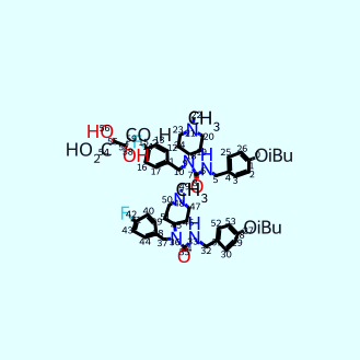 CC(C)COc1ccc(CNC(=O)N(Cc2ccc(F)cc2)C2CCN(C)CC2)cc1.CC(C)COc1ccc(CNC(=O)N(Cc2ccc(F)cc2)C2CCN(C)CC2)cc1.O=C(O)[C@H](O)[C@@H](O)C(=O)O